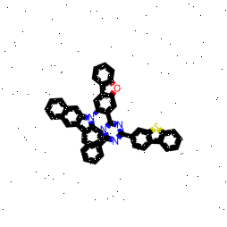 c1ccc(-c2nc(-c3ccc4c(c3)sc3ccccc34)nc(-c3cc4oc5ccccc5c4cc3-n3c4ccccc4c4cc5ccccc5cc43)n2)cc1